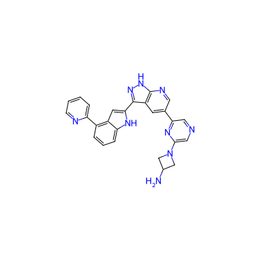 NC1CN(c2cncc(-c3cnc4[nH]nc(-c5cc6c(-c7ccccn7)cccc6[nH]5)c4c3)n2)C1